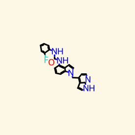 O=C(Nc1ccccc1F)Nc1cccc2c1ccn2Cc1ccnc2[nH]ccc12